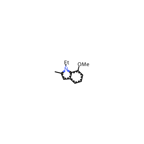 CCn1c(C)cc2cccc(OC)c21